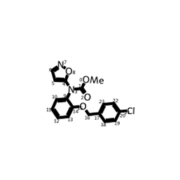 COC(=O)N(c1ccno1)c1ccccc1OCc1ccc(Cl)cc1